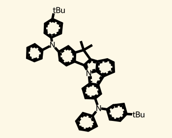 CC(C)(C)c1ccc(N(c2ccccc2)c2ccc3c(c2)C(C)(C)c2c-3n3c4ccc(N(c5ccccc5)c5ccc(C(C)(C)C)cc5)cc4c4cccc2c43)cc1